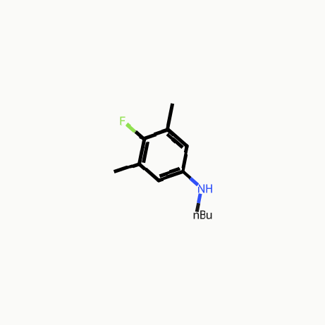 CCCCNc1cc(C)c(F)c(C)c1